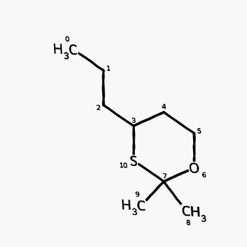 CCCC1CCOC(C)(C)S1